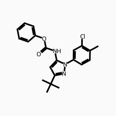 Cc1ccc(-n2nc(C(C)(C)C)cc2NC(=O)Oc2ccccc2)cc1Cl